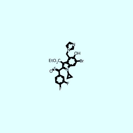 CCOC(=O)c1c(C(=S=O)c2ccc(F)c(F)c2)n(C2CC2)c2cc(Br)c(O)c(Cn3ccnc3)c12